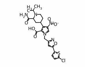 CC(C)N1CCC(c2c([N+](=O)[O-])cn(Cc3cc(-c4ccc(Cl)s4)on3)c2C(=O)O)CC1C(N)=O